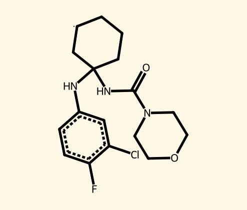 O=C(NC1(Nc2ccc(F)c(Cl)c2)C[CH]CCC1)N1CCOCC1